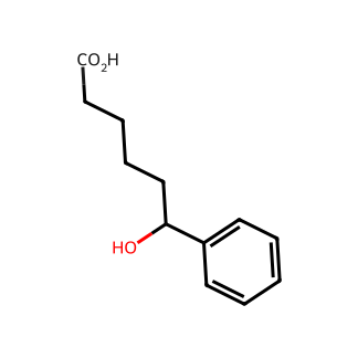 O=C(O)CCCCC(O)c1ccccc1